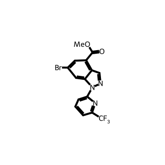 COC(=O)c1cc(Br)cc2c1cnn2-c1cccc(C(F)(F)F)n1